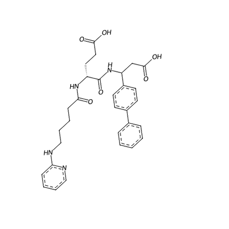 O=C(O)CC[C@@H](NC(=O)CCCCNc1ccccn1)C(=O)NC(CC(=O)O)c1ccc(-c2ccccc2)cc1